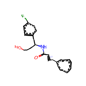 O=C(/C=C/c1ccccc1)NC(CO)c1ccc(F)cc1